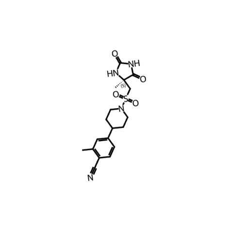 Cc1cc(C2CCN(S(=O)(=O)C[C@@]3(C)NC(=O)NC3=O)CC2)ccc1C#N